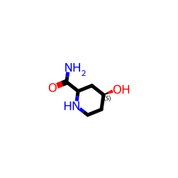 NC(=O)C1C[C@@H](O)CCN1